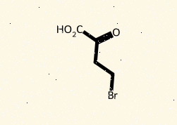 O=C(O)C(=O)CCBr